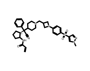 C=CC(=O)NC1CCC[C@H]1C(C#N)(c1ccccc1)C1CCN(CC2CN(c3ccc(S(=O)(=O)c4cnn(C)c4)cc3)C2)CC1